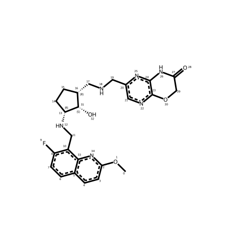 COc1ccc2ccc(F)c(CN[C@@H]3CC[C@H](CNCc4cnc5c(n4)NC(=O)CO5)[C@@H]3O)c2n1